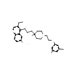 COc1ccc2ncc(CF)c([C@@H](O)CCC3(C(=O)O)CCN(CCOc4cc(F)cc(F)c4)CC3)c2c1